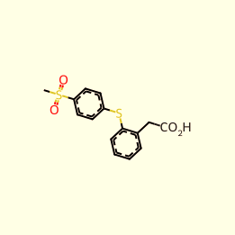 CS(=O)(=O)c1ccc(Sc2ccccc2CC(=O)O)cc1